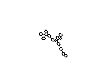 c1ccc(-c2c(-c3ccccc3)c3cc(-c4cccc(N(c5ccc(-c6ccc(-c7ccc8ccccc8c7)cc6)cc5)c5ccc6c(c5)sc5ccccc56)c4)ccc3c3ccccc23)cc1